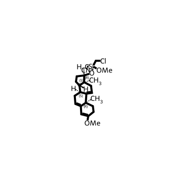 COC1=CC2=CC[C@@H]3C(=CC[C@@]4(C)[C@H]3CC[C@@]4(C#N)O[Si](C)(CCl)OC)[C@@]2(C)CC1